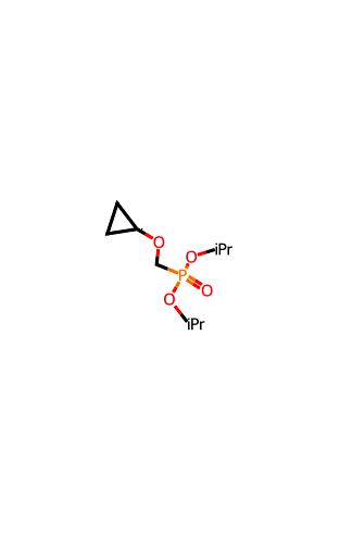 CC(C)OP(=O)(CO[C]1CC1)OC(C)C